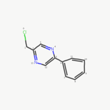 ClCc1cnc(-c2ccccc2)cn1